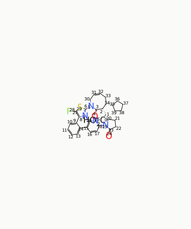 O=C(O)C[C@@H]1C(=O)N(c2nc(-c3ccccc3-c3ccc(N4CCCC4=O)nc3)c(F)s2)C/C=C\C[C@@H]1C1CCCC1